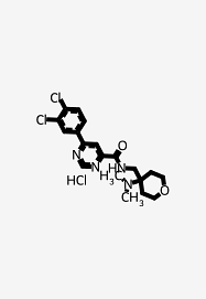 CN(C)C1(CNC(=O)c2cc(-c3ccc(Cl)c(Cl)c3)ncn2)CCOCC1.Cl